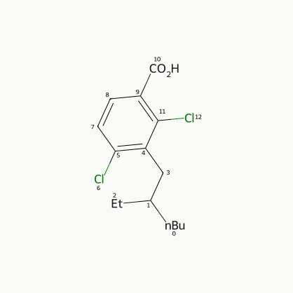 CCCCC(CC)Cc1c(Cl)ccc(C(=O)O)c1Cl